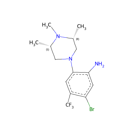 C[C@@H]1CN(c2cc(C(F)(F)F)c(Br)cc2N)C[C@H](C)N1C